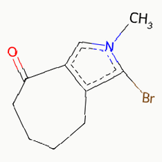 Cn1cc2c(c1Br)CCCCC2=O